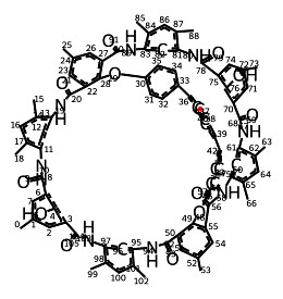 Cc1cc2c(O)c(c1)C(=O)Nc1cc(c(C)cc1C)NC(=O)c1cc(C)cc3c1Oc1ccc(cc1)-c1ccc(cc1)-c1ccc(cc1)Oc1c(cc(C)cc1C(=O)Nc1cc(c(C)cc1C)NC(=O)c1cc(C)cc(c1O)C(=O)Nc1cc(c(C)cc1C)NC3=O)C(=O)Nc1cc(c(C)cc1C)NC2=O